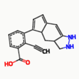 C#Cc1c(C(=O)O)cccc1C1=CC=C2C=C3NNCC3CC21